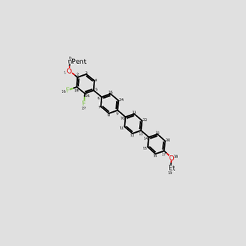 CCCCCOc1ccc(-c2ccc(-c3ccc(-c4ccc(OCC)cc4)cc3)cc2)c(F)c1F